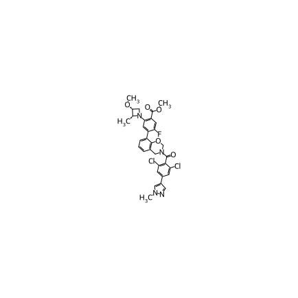 COC(=O)c1cc(F)c(-c2cccc3c2OCN(C(=O)c2c(Cl)cc(-c4cnn(C)c4)cc2Cl)C3)cc1N1C[C@H](OC)[C@@H]1C